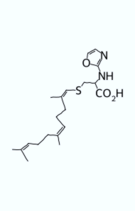 CC(C)=CCCC(C)=CCCC(C)=CSCC(Nc1ncco1)C(=O)O